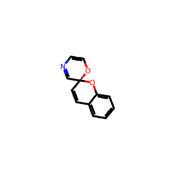 C1=CO[C@@]2(C=Cc3ccccc3O2)C=N1